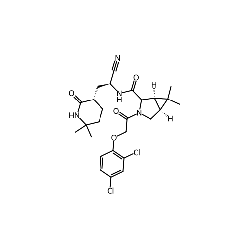 CC1(C)CC[C@@H](C[C@@H](C#N)NC(=O)C2[C@@H]3[C@H](CN2C(=O)COc2ccc(Cl)cc2Cl)C3(C)C)C(=O)N1